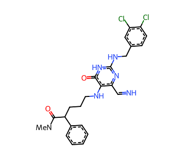 CNC(=O)C(CCCNc1c(C=N)nc(NCc2ccc(Cl)c(Cl)c2)[nH]c1=O)c1ccccc1